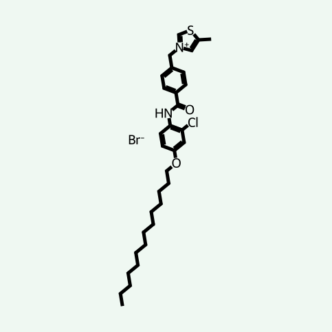 CCCCCCCCCCCCCCOc1ccc(NC(=O)c2ccc(C[n+]3csc(C)c3)cc2)c(Cl)c1.[Br-]